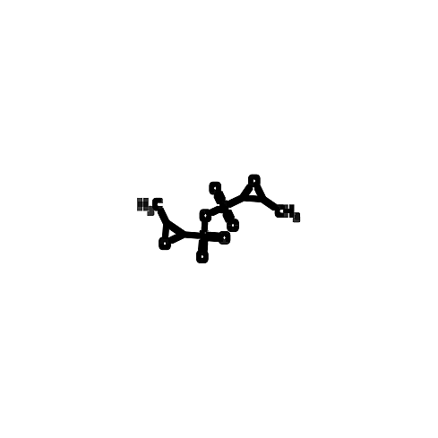 CC1OC1S(=O)(=O)OS(=O)(=O)C1OC1C